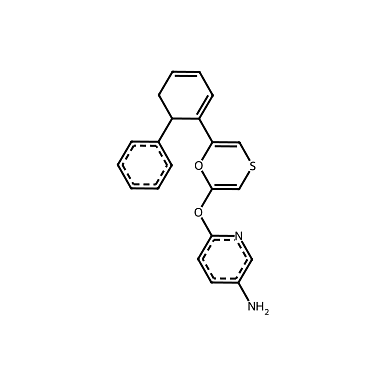 Nc1ccc(OC2=CSC=C(C3=CC=CCC3c3ccccc3)O2)nc1